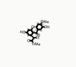 CCC(C(=O)OC)c1cc(O)cc(O)c1C(=O)c1ccc(OC)c(O)c1